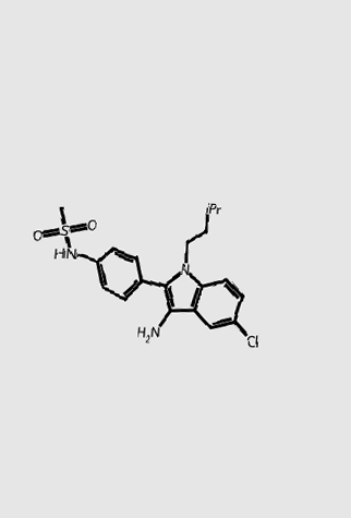 CC(C)CCn1c(-c2ccc(NS(C)(=O)=O)cc2)c(N)c2cc(Cl)ccc21